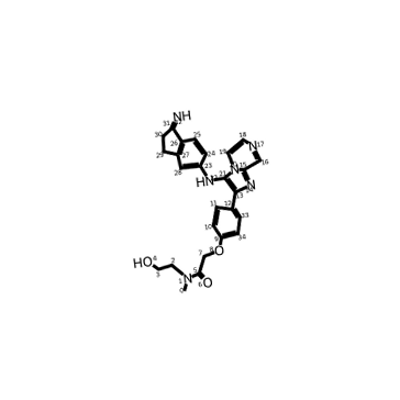 CN(CCO)C(=O)COc1ccc(-c2nc3cnccn3c2Nc2ccc3c(c2)CCC3=N)cc1